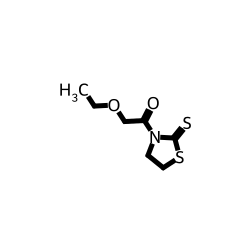 CCOCC(=O)N1CCSC1=S